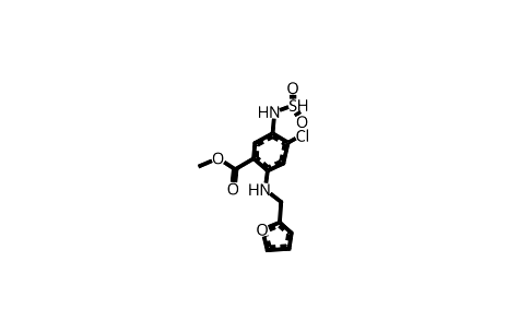 COC(=O)c1cc(N[SH](=O)=O)c(Cl)cc1NCc1ccco1